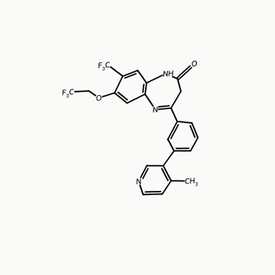 Cc1ccncc1-c1cccc(C2=Nc3cc(OCC(F)(F)F)c(C(F)(F)F)cc3NC(=O)C2)c1